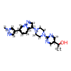 CCC(O)c1cnc(N2CCN(c3cnn4cc(-c5cnn(C)c5)ccc34)CC2)nc1